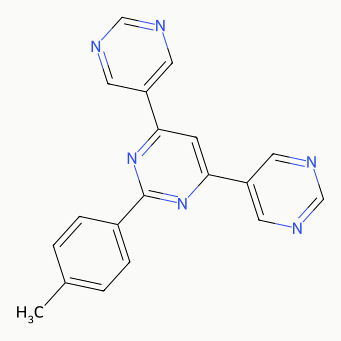 Cc1ccc(-c2nc(-c3cncnc3)cc(-c3cncnc3)n2)cc1